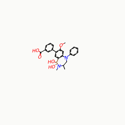 COc1cc2c(cc1-c1cccc(C(=O)O)c1)S(O)(O)N(C)C(C)CN2c1ccccc1